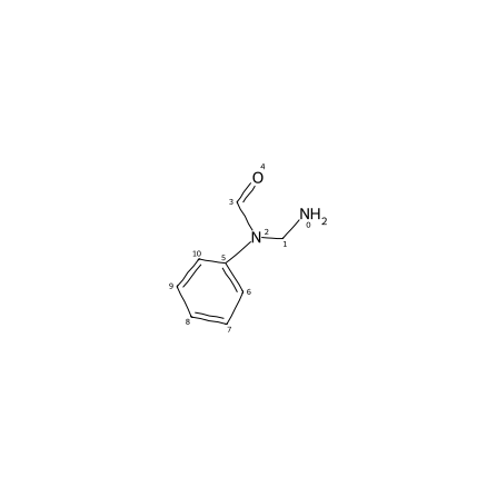 NCN(C=O)c1ccccc1